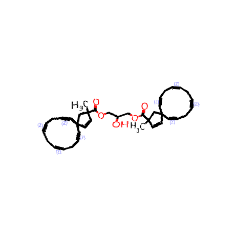 CC1(C(=O)OCC(O)COC(=O)C2(C)C=CC3(/C=C\C/C=C\C/C=C\C/C=C\3)C2)C=CC2(/C=C\C/C=C\C/C=C\C/C=C\2)C1